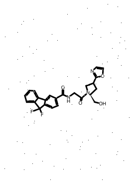 O=C(NCC(=O)N1CC(c2ncco2)C[C@H]1CO)c1ccc2c(c1)-c1ccccc1C2(F)F